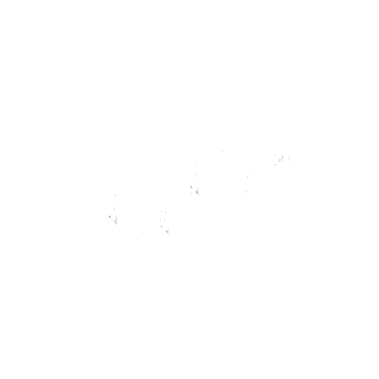 OC1CCN(c2ccncn2)CC1